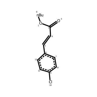 CCCCOC(=O)C=Cc1ccc(Cl)cc1